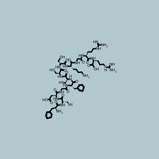 N=C(N)NCCC[C@H](NC(=O)[C@H](CCCNC(=N)N)NC(=O)CNC(=O)[C@H](CCCCN)NC(=O)[C@H](CO)NC(=O)[C@H](CO)NC(=O)[C@H](CS)NC(=O)[C@H](Cc1ccccc1)NC(=O)CNC(=O)[C@H](CC(=O)O)NC(=O)[C@H](CS)NC(=O)[C@@H](N)Cc1ccccc1)C(=O)O